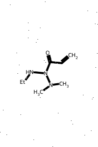 C=CC(=O)N(NCC)N(C)C